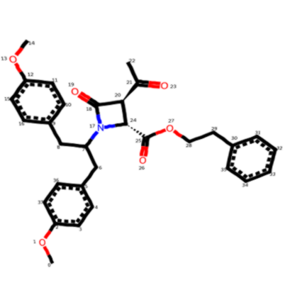 COc1ccc(CC(Cc2ccc(OC)cc2)N2C(=O)[C@@H](C(C)=O)[C@@H]2C(=O)OCCc2ccccc2)cc1